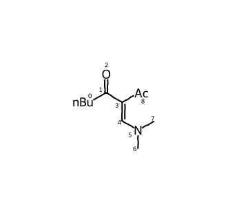 CCCCC(=O)C(=CN(C)C)C(C)=O